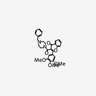 COc1cc(-c2oc3ccccc3c(=O)c2C(=O)N2CCN(Cc3ccccc3)CC2)cc(OC)c1OC